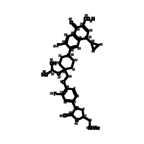 CC(=O)NCC1CN(c2ccc(OCC3(OP(O)O)CCN(c4cc5c(cc4F)c(=O)c(C(=O)O)cn5C4CC4)CC3)c(F)c2)C(=O)O1